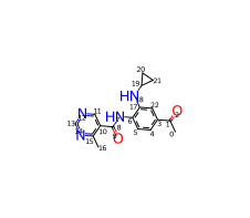 CC(=O)c1ccc(NC(=O)c2cncnc2C)c(NC2CC2)c1